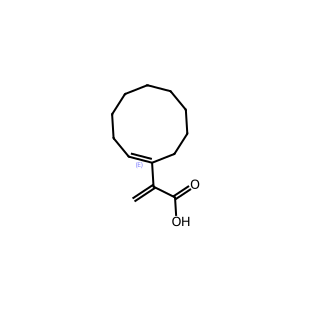 C=C(C(=O)O)/C1=C/CCCCCCCC1